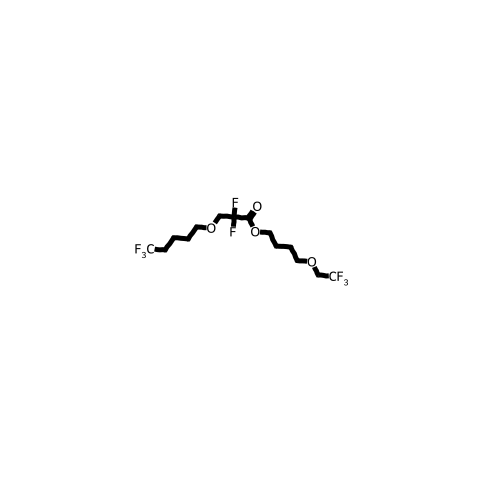 O=C(OCCCCOCC(F)(F)F)C(F)(F)COCCCCC(F)(F)F